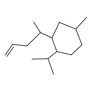 C=CCC(C)C1CC(C)CCC1C(C)C